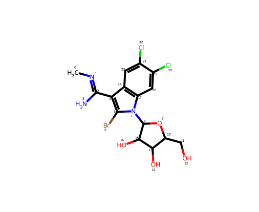 CN=C(N)c1c(Br)n(C2OC(CO)C(O)C2O)c2cc(Cl)c(Cl)cc12